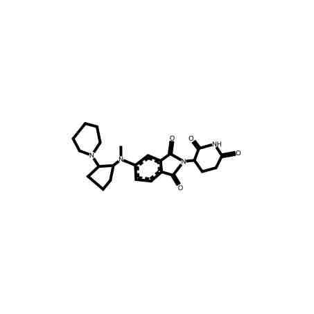 CN(c1ccc2c(c1)C(=O)N(C1CCC(=O)NC1=O)C2=O)C1CCCC1N1CCCCC1